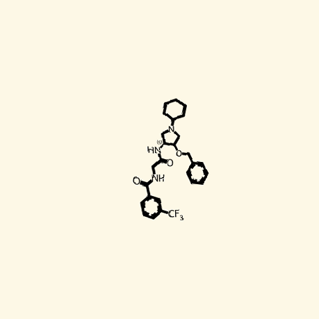 O=C(CNC(=O)c1cccc(C(F)(F)F)c1)N[C@H]1CN(C2CCCCC2)CC1OCc1ccccc1